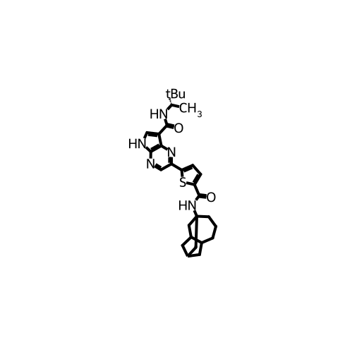 C[C@H](NC(=O)c1c[nH]c2ncc(-c3ccc(C(=O)NC45CCCC6CC(CC6C4)C5)s3)nc12)C(C)(C)C